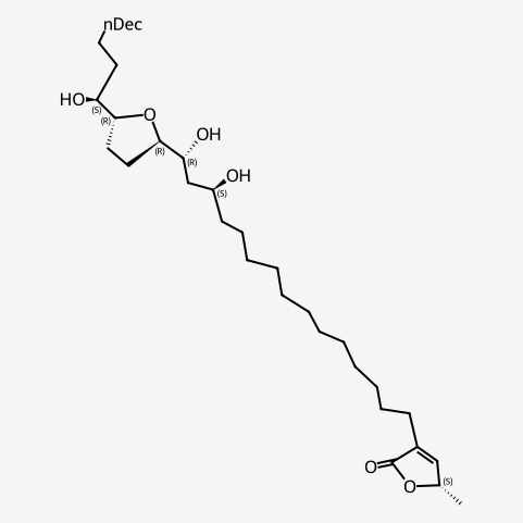 CCCCCCCCCCCC[C@H](O)[C@H]1CC[C@H]([C@H](O)C[C@@H](O)CCCCCCCCCCCCC2=C[C@H](C)OC2=O)O1